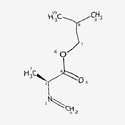 C=N[C@@H](C)C(=O)OCC(C)C